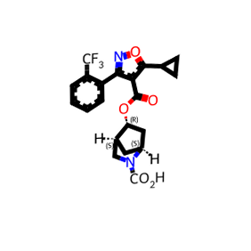 O=C(O[C@@H]1C[C@@H]2C[C@H]1CN2C(=O)O)c1c(-c2ccccc2C(F)(F)F)noc1C1CC1